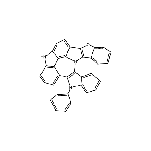 c1ccc(-n2c3ccccc3c3c2c2cccc4[nH]c5ccc6c7oc8ccccc8c7n3c6c5c42)cc1